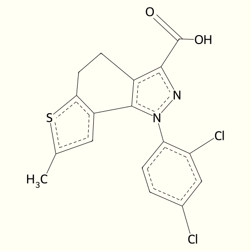 Cc1cc2c(s1)CCc1c(C(=O)O)nn(-c3ccc(Cl)cc3Cl)c1-2